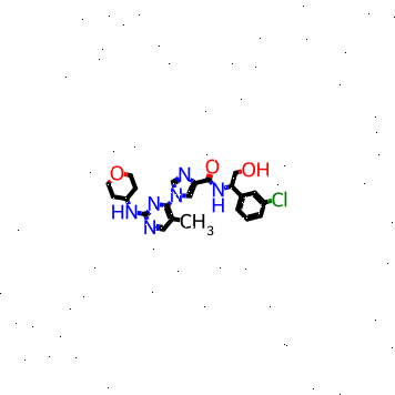 Cc1cnc(NC2CCOCC2)nc1-n1cnc(C(=O)NC(CO)c2cccc(Cl)c2)c1